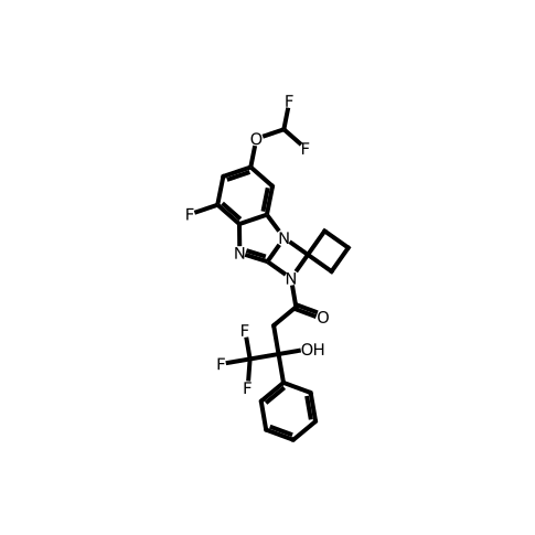 O=C(CC(O)(c1ccccc1)C(F)(F)F)N1c2nc3c(F)cc(OC(F)F)cc3n2C12CCC2